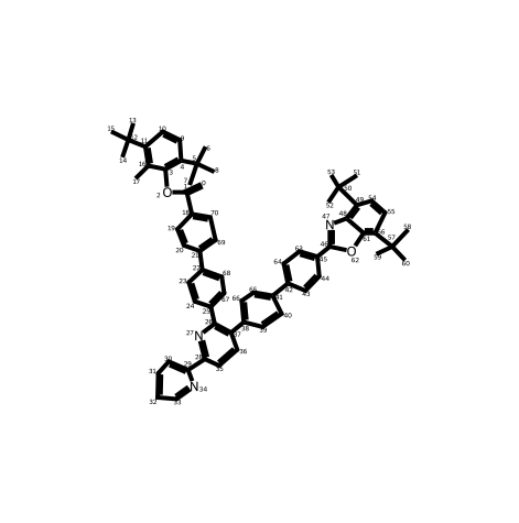 C=C(Oc1c(C(C)(C)C)ccc(C(C)(C)C)c1C)c1ccc(-c2ccc(-c3nc(-c4ccccn4)ccc3-c3ccc(-c4ccc(-c5nc6c(C(C)(C)C)ccc(C(C)(C)C)c6o5)cc4)cc3)cc2)cc1